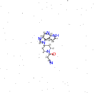 N#CCC(=O)N1CCC(n2cnc3cnc4[nH]ccc4c32)CC1